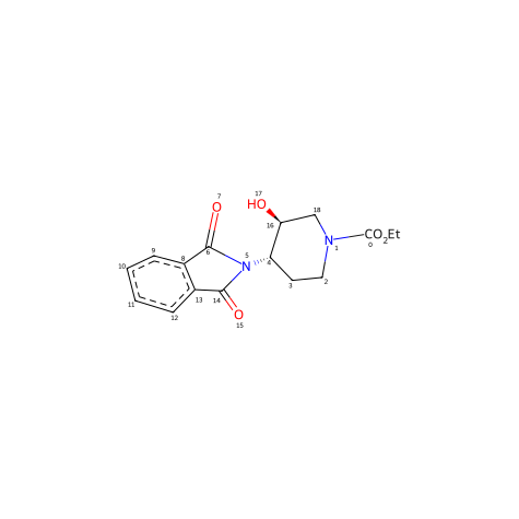 CCOC(=O)N1CC[C@H](N2C(=O)c3ccccc3C2=O)[C@@H](O)C1